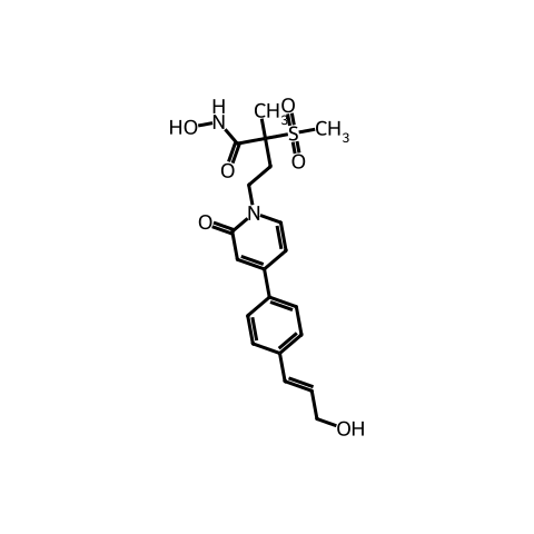 CC(CCn1ccc(-c2ccc(/C=C/CO)cc2)cc1=O)(C(=O)NO)S(C)(=O)=O